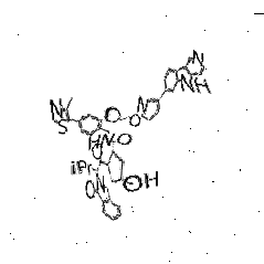 Cc1ncsc1-c1ccc(CNC(=O)[C@@H]2C[C@@H](O)CC2C(=O)[C@H](C(C)C)N2Cc3ccccc3C2=O)c(OCCOc2ccc(-c3ccc4c(c3)[nH]c3ccncc34)cn2)c1